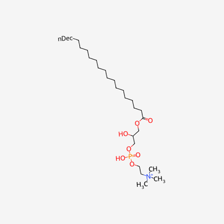 CCCCCCCCCCCCCCCCCCCCCCCCCC(=O)OCC(O)COP(=O)(O)OCC[N+](C)(C)C